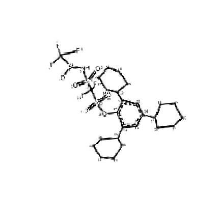 O=S(=O)(N[S+]([O-])C(F)(F)F)C(F)(F)S(=O)(=O)Oc1c(C2CCCCC2)cc(C2CCCCC2)cc1C1CCCCC1